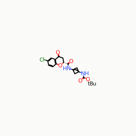 CC(C)(C)OC(=O)NC12CC(NC(=O)[C@H]3CC(=O)c4cc(Cl)ccc4O3)(C1)C2